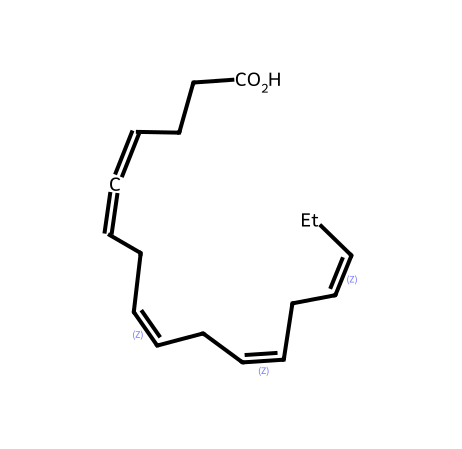 CC/C=C\C/C=C\C/C=C\CC=C=CCCC(=O)O